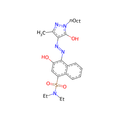 CCCCCCCCn1nc(C)c(/N=N/c2c(O)cc(S(=O)(=O)N(CC)CC)c3ccccc23)c1O